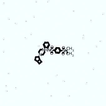 CN(C)S(=O)(=O)c1ccc(S(=O)(=O)Nc2ccccc2N2CCN(C3CCC4CCC43)CC2)cc1